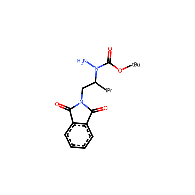 CC(C)C(CN1C(=O)c2ccccc2C1=O)N(N)C(=O)OC(C)(C)C